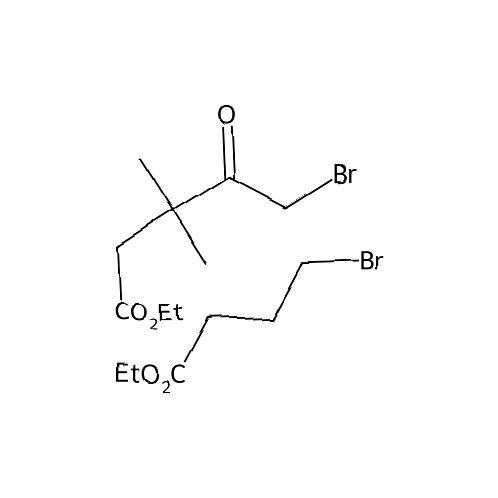 CCOC(=O)CC(C)(C)C(=O)CBr.CCOC(=O)CCCBr